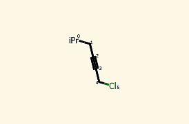 CC(C)CC#CCCl